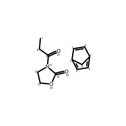 C1=CC2=CC=C1C2.CCC(=O)N1CCOC1=O